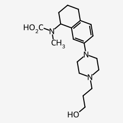 CN(C(=O)O)C1CCCc2ccc(N3CCN(CCCO)CC3)cc21